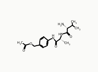 CC(=O)OCc1ccc(NC(=O)[C@@H](C)NC(=O)[C@H](N)C(C)C)cc1